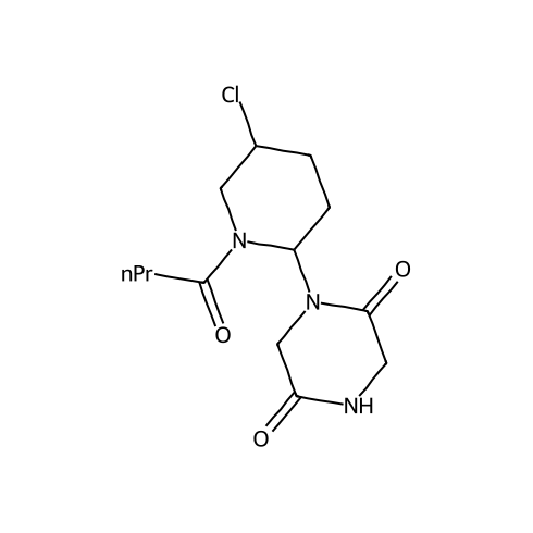 CCCC(=O)N1CC(Cl)CCC1N1CC(=O)NCC1=O